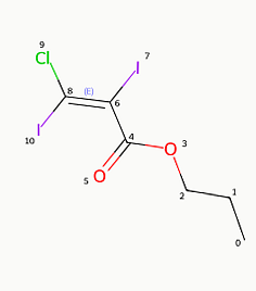 CCCOC(=O)/C(I)=C(/Cl)I